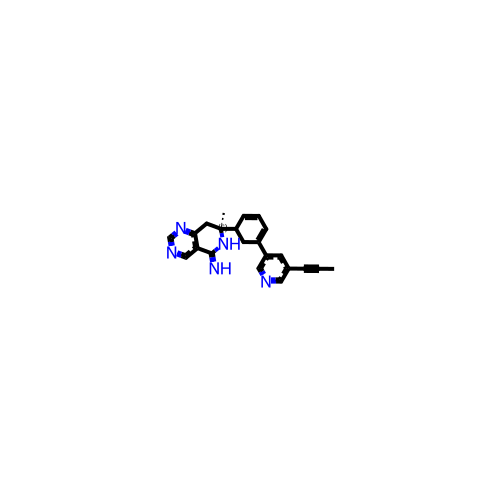 CC#Cc1cncc(C2=CC=CC([C@]3(C)Cc4ncncc4C(=N)N3)C2)c1